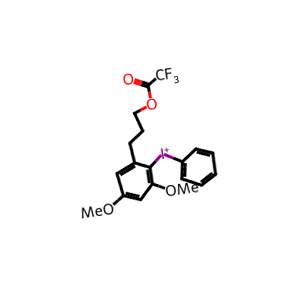 COc1cc(CCCOC(=O)C(F)(F)F)c([I+]c2ccccc2)c(OC)c1